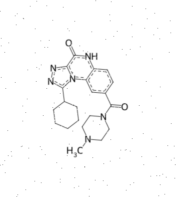 CN1CCN(C(=O)c2ccc3[nH]c(=O)c4nnc(C5CCCCC5)n4c3c2)CC1